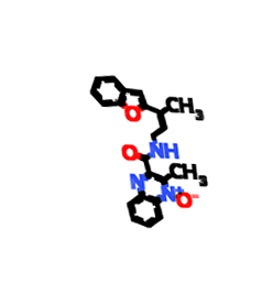 C/C(=C/CNC(=O)c1nc2ccccc2[n+]([O-])c1C)c1cc2ccccc2o1